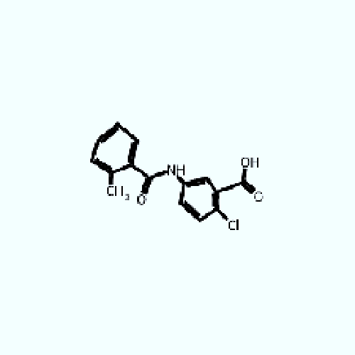 Cc1ccccc1C(=O)Nc1ccc(Cl)c(C(=O)O)c1